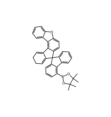 CC1(C)OB(c2cccc3c2-c2ccccc2C32C3=CCCC=C3c3c2ccc2oc4ccccc4c32)OC1(C)C